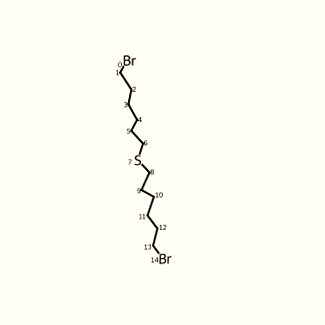 BrCCCCCCSCCCCCCBr